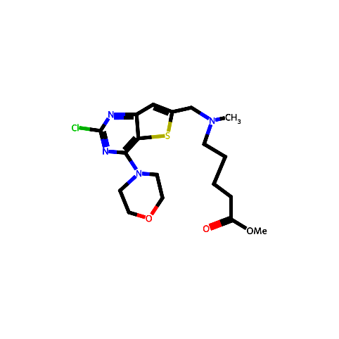 COC(=O)CCCCN(C)Cc1cc2nc(Cl)nc(N3CCOCC3)c2s1